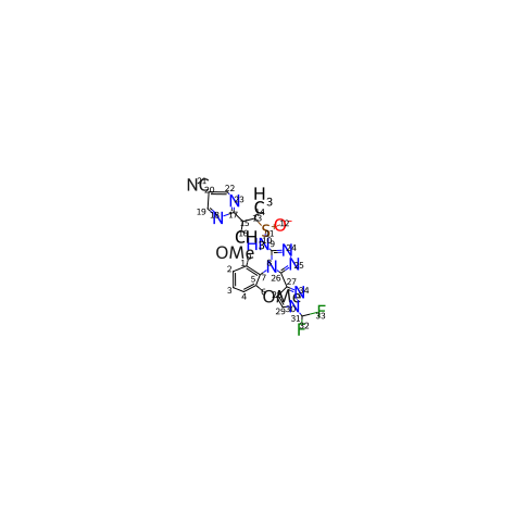 COc1cccc(OC)c1-n1c(N[S+]([O-])C(C)C(C)c2ncc(C#N)cn2)nnc1-c1ccn(C(F)F)n1